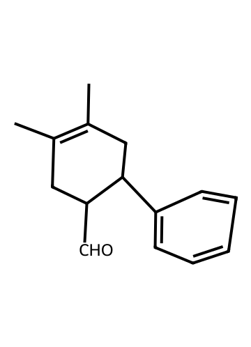 CC1=C(C)CC(c2ccccc2)C(C=O)C1